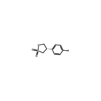 O=S1(=O)C[C@@H](c2ccc(F)cc2)CO1